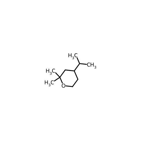 CC(C)C1CCOC(C)(C)C1